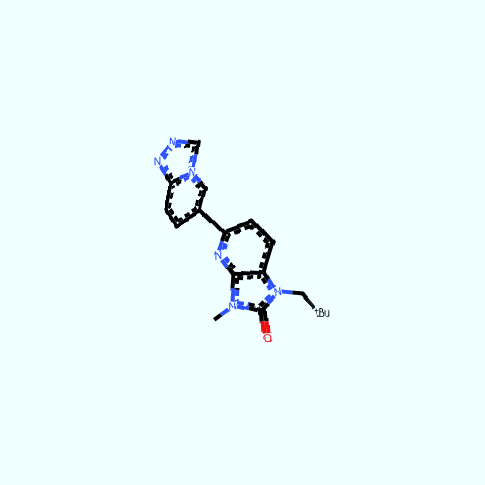 Cn1c(=O)n(CC(C)(C)C)c2ccc(-c3ccc4nncn4c3)nc21